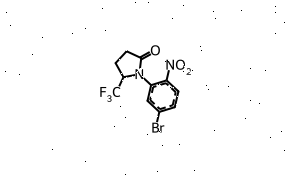 O=C1CCC(C(F)(F)F)N1c1cc(Br)ccc1[N+](=O)[O-]